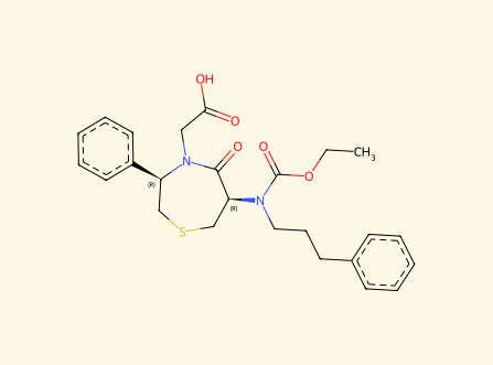 CCOC(=O)N(CCCc1ccccc1)[C@H]1CSC[C@@H](c2ccccc2)N(CC(=O)O)C1=O